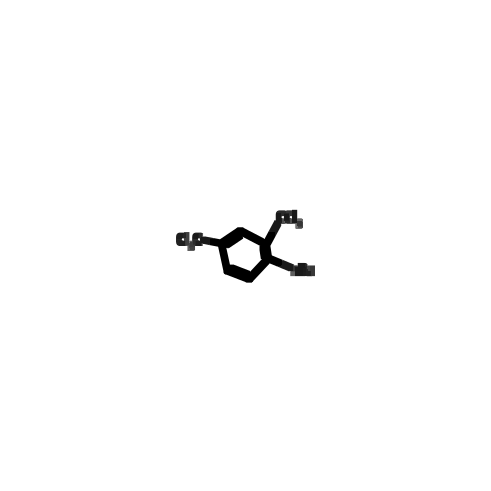 [CH2]CCCc1ccc(C(Cl)(Cl)Cl)cc1C(Cl)(Cl)Cl